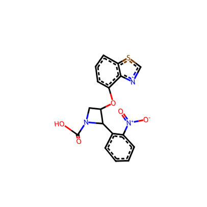 O=C(O)N1CC(Oc2cccc3scnc23)C1c1ccccc1[N+](=O)[O-]